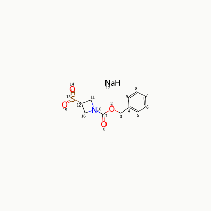 O=C(OCc1ccccc1)N1CC([SH](=O)=O)C1.[NaH]